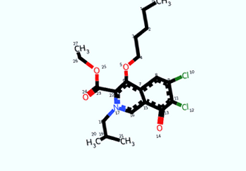 CCCCCOc1c2cc(Cl)c(Cl)c(=O)c-2cn(CC(C)C)c1C(=O)OCC